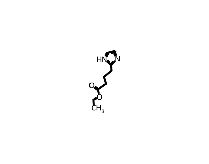 CCOC(=O)CCCc1n[c]c[nH]1